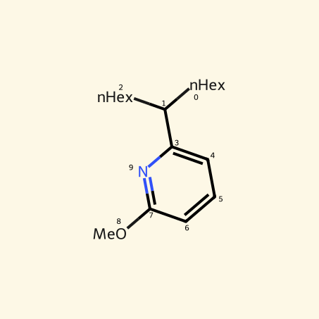 CCCCCCC(CCCCCC)c1cccc(OC)n1